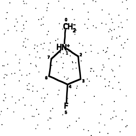 [CH2-][NH+]1CCC(F)CC1